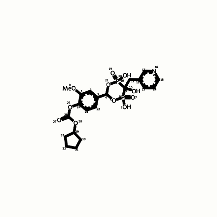 COc1cc(C2OP(=O)(O)C(O)(Cc3cccnc3)P(=O)(O)O2)ccc1OC(=O)OC1CCCC1